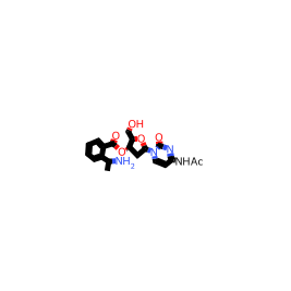 CC(=O)Nc1ccn(C2C[C@@H](OC(=O)c3ccccc3C(C)N)C(CO)O2)c(=O)n1